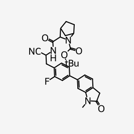 CN1C(=O)Cc2ccc(-c3ccc(CC(C#N)NC(=O)C4C5CCC(C5)N4C(=O)OC(C)(C)C)c(F)c3)cc21